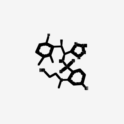 Cc1ccc(F)c([C@@H](C)[C@H](NS(=O)(=O)c2ccc(Cl)cc2N(C)CCO)c2nn[nH]n2)c1C